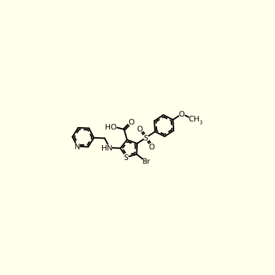 COc1ccc(S(=O)(=O)c2c(Br)sc(NCc3cccnc3)c2C(=O)O)cc1